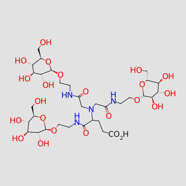 O=C(O)CCC(C(=O)NCCO[C@@H]1O[C@H](CO)[C@@H](O)[C@H](O)[C@H]1O)N(CC(=O)NCCO[C@@H]1O[C@H](CO)[C@@H](O)[C@H](O)[C@H]1O)CC(=O)NCCO[C@@H]1O[C@H](CO)[C@@H](O)[C@H](O)[C@H]1O